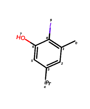 Cc1cc(C(C)C)cc(O)c1I